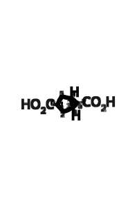 O=C(O)[C@@H]1C[C@@H]2[C@H](C1)[C@@H]2C(=O)O